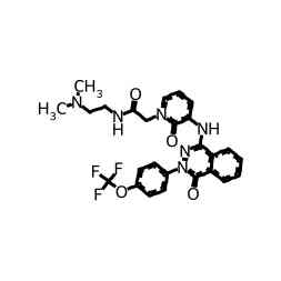 CN(C)CCNC(=O)Cn1cccc(Nc2nn(-c3ccc(OC(F)(F)F)cc3)c(=O)c3ccccc23)c1=O